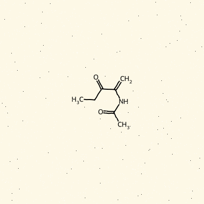 C=C(NC(C)=O)C(=O)CC